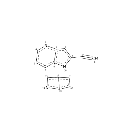 C#Cc1cc2ncccn2n1.c1cc2ncc1-2